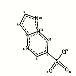 O=S(=O)(Cl)c1cnc2ccnn2c1